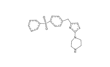 O=S(=O)(c1ccccc1)c1ccc(Cc2csc(N3CCNCC3)n2)cc1